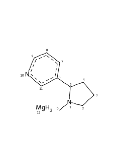 CN1CCCC1c1cccnc1.[MgH2]